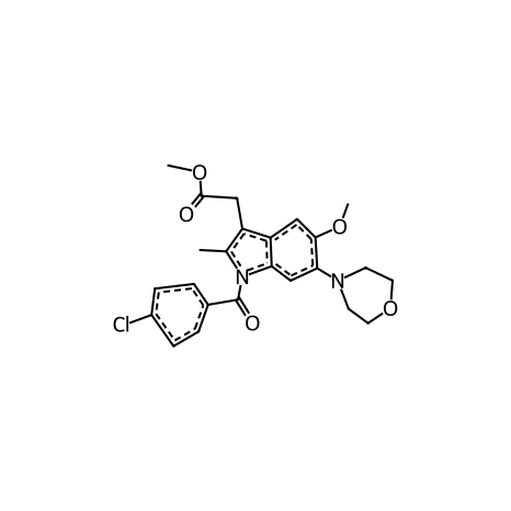 COC(=O)Cc1c(C)n(C(=O)c2ccc(Cl)cc2)c2cc(N3CCOCC3)c(OC)cc12